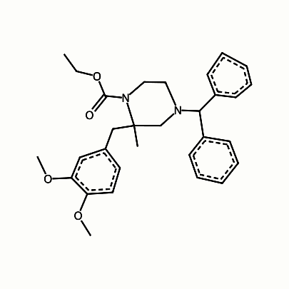 CCOC(=O)N1CCN(C(c2ccccc2)c2ccccc2)CC1(C)Cc1ccc(OC)c(OC)c1